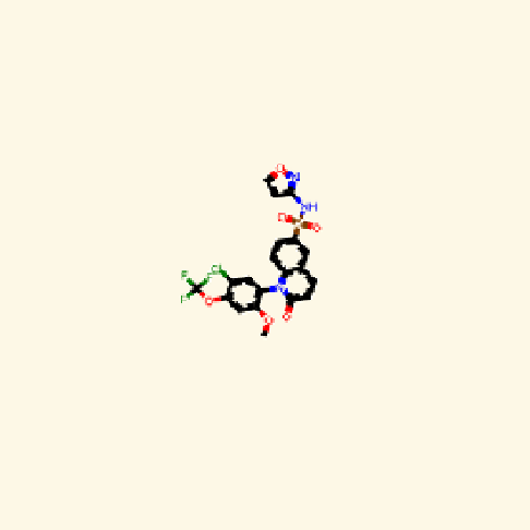 COc1cc(OC(F)(F)F)c(Cl)cc1-n1c(=O)ccc2cc(S(=O)(=O)Nc3ccon3)ccc21